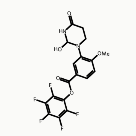 COc1ccc(C(=O)Oc2c(F)c(F)c(F)c(F)c2F)cc1N1CCC(=O)NC1O